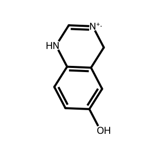 Oc1ccc2c(c1)C[N+]=CN2